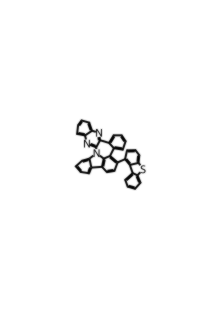 c1ccc2c(c1)-c1nc3ccccc3nc1-n1c3ccccc3c3ccc(-c4cccc5sc6ccccc6c45)c-2c31